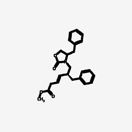 COC(=O)CC=C[C@H](Cc1ccccc1)CN1C(=O)OCC1Cc1ccccc1